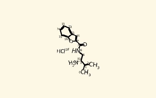 CC(C)[C@H](N)CNC(=O)c1cc2ccccc2o1.Cl